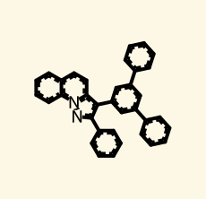 c1ccc(-c2cc(-c3ccccc3)cc(-c3c(-c4ccccc4)nn4c3ccc3ccccc34)c2)cc1